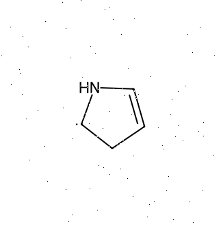 [CH]1CC=CN1